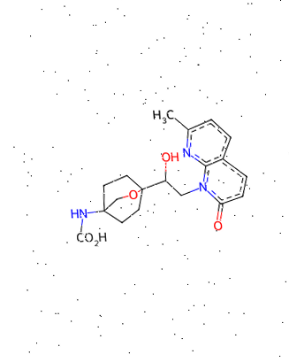 Cc1ccc2ccc(=O)n(CC(O)C34CCC(NC(=O)O)(CC3)CO4)c2n1